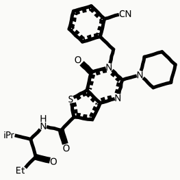 CCC(=O)C(NC(=O)c1cc2nc(N3CCCCC3)n(Cc3ccccc3C#N)c(=O)c2s1)C(C)C